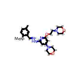 CNc1ccc(C)cc1C=NNc1cc(N2CCOCC2)cc(OCCN2CCOCC2)n1